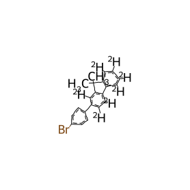 [2H]c1c([2H])c([2H])c2c(c1[2H])-c1c([2H])c([2H])c(-c3ccc(Br)cc3)c([2H])c1C2(C)C